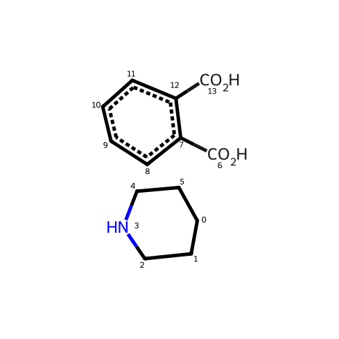 C1CCNCC1.O=C(O)c1ccccc1C(=O)O